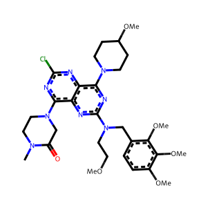 COCCN(Cc1ccc(OC)c(OC)c1OC)c1nc(N2CCC(OC)CC2)c2nc(Cl)nc(N3CCN(C)C(=O)C3)c2n1